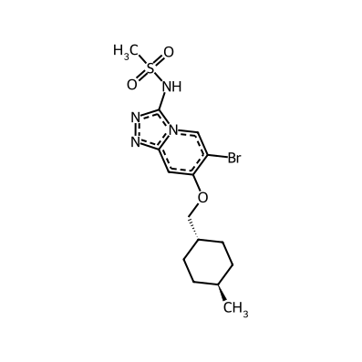 CS(=O)(=O)Nc1nnc2cc(OC[C@H]3CC[C@H](C)CC3)c(Br)cn12